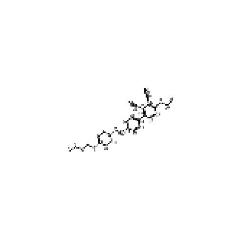 CCCCC[C@H]1CC[C@H](COc2ccc(-c3ccc(CCC)c(C#N)c3C#N)cc2)CC1